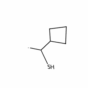 [CH2]C(S)C1CCC1